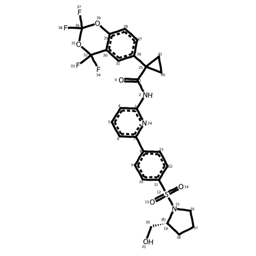 O=C(Nc1cccc(-c2ccc(S(=O)(=O)N3CCC[C@@H]3CO)cc2)n1)C1(c2ccc3c(c2)C(F)(F)OC(F)(F)O3)CC1